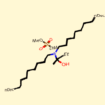 CCCCCCCCCCCCCCCCCCN(CCCCCCCCCCCCCCCCCC)C(C)(O)CC.COS(=O)(=O)OC